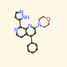 [c]1ccc(-c2cc(N3CCOCC3)nc3c(-c4ccn[nH]4)nccc23)cc1